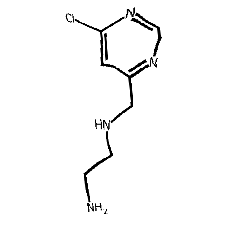 NCCNCc1cc(Cl)ncn1